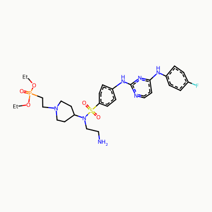 CCOP(=O)(CCN1CCC(N(CCN)S(=O)(=O)c2ccc(Nc3nccc(Nc4ccc(F)cc4)n3)cc2)CC1)OCC